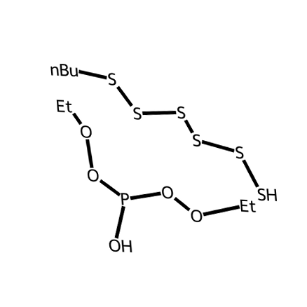 CCCCSSSSSS.CCOOP(O)OOCC